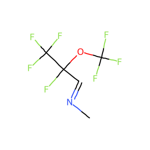 C/N=C/C(F)(OC(F)(F)F)C(F)(F)F